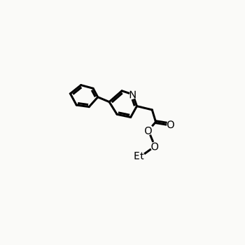 CCOOC(=O)Cc1ccc(-c2ccccc2)cn1